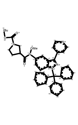 CON(C(=O)C1CCN(C(=O)OC(C)(C)C)C1)c1ccc2c(c1)c(-c1ccncc1)nn2C(c1ccccc1)(c1ccccc1)c1ccccc1